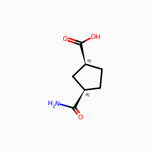 NC(=O)[C@@H]1CC[C@H](C(=O)O)C1